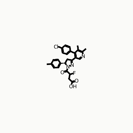 Cc1ccc([C@H]2CC(c3cnc(C)c(C)c3-c3ccc(Cl)cc3)=NN2C(=O)C(F)CC(=O)O)cc1